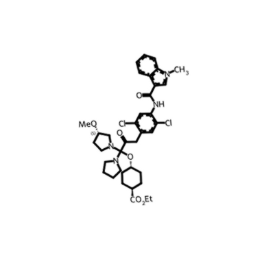 CCOC(=O)[C@H]1CC[C@H](OC(C(=O)Cc2cc(Cl)c(NC(=O)c3cn(C)c4ccccc34)cc2Cl)(N2CCCC2)N2CC[C@H](OC)C2)CC1